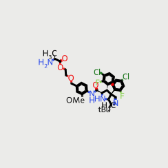 C/N=C\[C@]1(c2ccc(Cl)cc2F)C(CC(C)(C)C)N[C@@H](C(=O)Nc2ccc(COCCOC(=O)[C@@H](C)N)cc2OC)[C@@H]1c1cccc(Cl)c1F